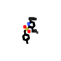 COc1ccc([N+](=O)[O-])c(S(=O)(=O)Cc2ccc(C)cc2)n1